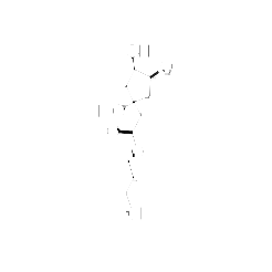 CCCCOC(=O)CC1(O)CC(=O)C(C)C1